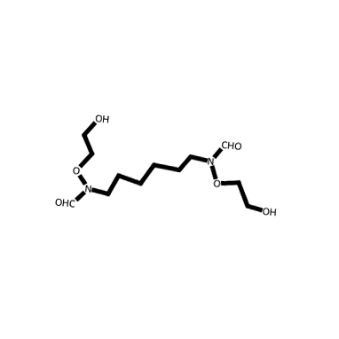 O=CN(CCCCCCN(C=O)OCCO)OCCO